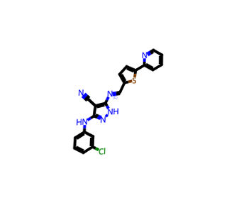 N#Cc1c(Nc2cccc(Cl)c2)n[nH]c1/N=C/c1ccc(-c2ccccn2)s1